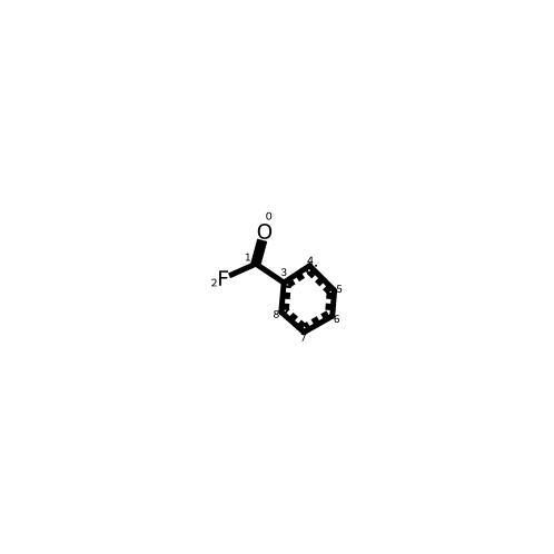 O=C(F)c1[c]cccc1